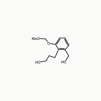 COCOc1cccc(CO)c1CCCO